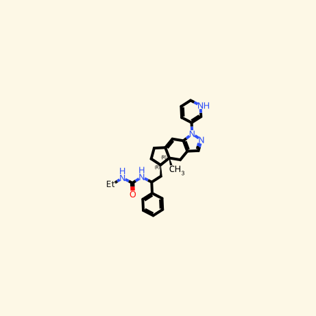 CCNC(=O)NC(C[C@H]1CCC2=Cc3c(cnn3C3=CNCC=C3)C[C@@]21C)c1ccccc1